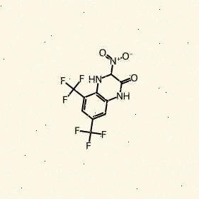 O=C1Nc2cc(C(F)(F)F)cc(C(F)(F)F)c2NC1[N+](=O)[O-]